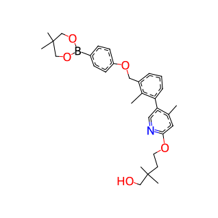 Cc1cc(OCCC(C)(C)CO)ncc1-c1cccc(COc2ccc(B3OCC(C)(C)CO3)cc2)c1C